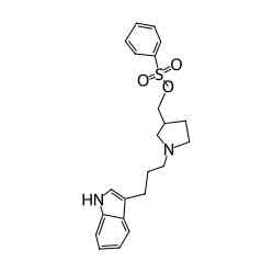 O=S(=O)(OCC1CCN(CCCc2c[nH]c3ccccc23)C1)c1ccccc1